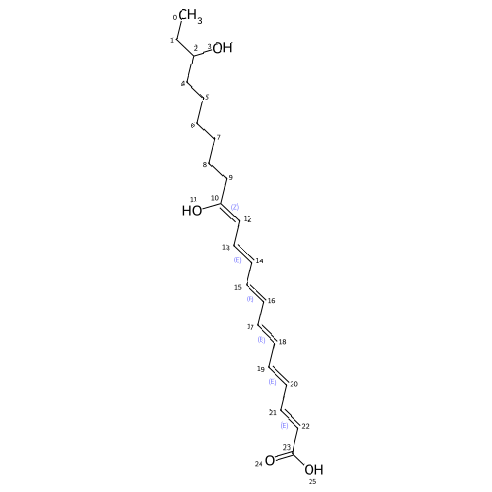 CCC(O)CCCCCC/C(O)=C/C=C/C=C/C=C/C=C/C=C/C(=O)O